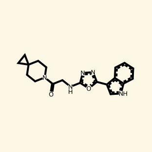 O=C(CNc1nnc(-c2c[nH]c3ccccc23)o1)N1CCC2(CC1)CC2